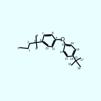 CCCC(C)(C)c1ccc(Oc2ccc(C(C)(C)C)cc2)cc1